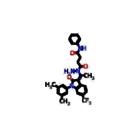 C/C(=C1/C(=O)N(c2cc(C)cc(C)c2)c2cc(C(F)(F)F)ccc21)N(N)C(=O)CCC(=O)Nc1ccccc1